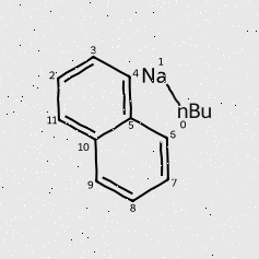 CCC[CH2][Na].c1ccc2ccccc2c1